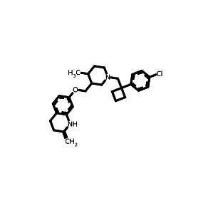 C=C1CCc2ccc(OCC3CN(CC4(c5ccc(Cl)cc5)CCC4)CCC3C)cc2N1